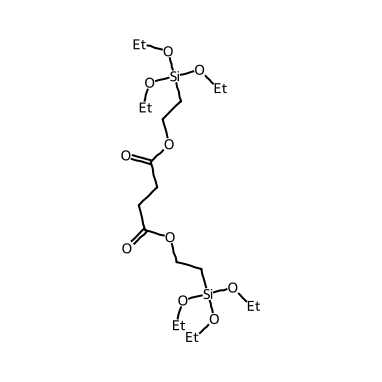 CCO[Si](CCOC(=O)CCC(=O)OCC[Si](OCC)(OCC)OCC)(OCC)OCC